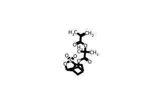 C=C(C)C(=O)OC(C)(C)C(=O)OC1C2CC3C1OS(=O)(=O)C3C2